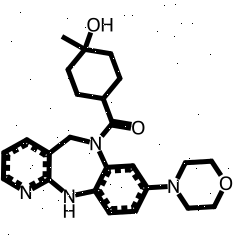 CC1(O)CCC(C(=O)N2Cc3cccnc3Nc3ccc(N4CCOCC4)cc32)CC1